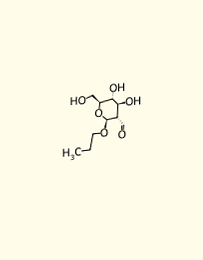 CCCO[C@H]1O[C@@H](CO)[C@H](O)[C@@H](O)[C@@H]1C=O